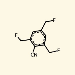 N#Cc1c(CF)cc(CF)cc1CF